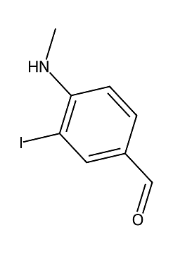 CNc1ccc(C=O)cc1I